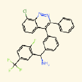 NC(c1cccc(-c2c(-c3ccccc3)nnc3c(Cl)cccc23)c1)c1cc(C(F)(F)F)ccc1F